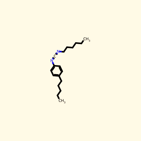 CCCCCCN=C=Nc1ccc(CCCCC)cc1